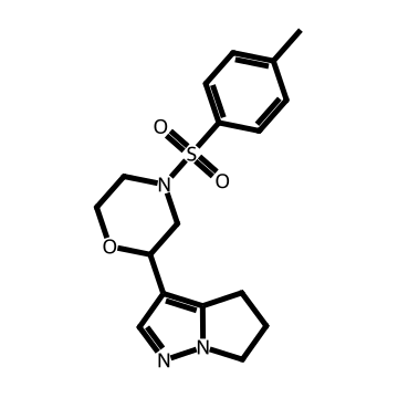 Cc1ccc(S(=O)(=O)N2CCOC(c3cnn4c3CCC4)C2)cc1